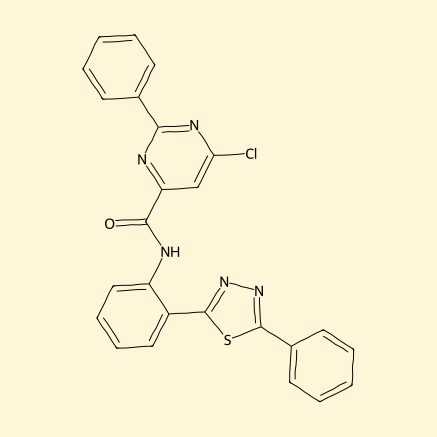 O=C(Nc1ccccc1-c1nnc(-c2ccccc2)s1)c1cc(Cl)nc(-c2ccccc2)n1